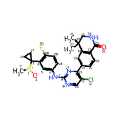 C[S+]([O-])C1(c2cc(Nc3ncc(Cl)c(-c4ccc5c(c4)C(C)(C)CNC5=O)n3)ccc2F)CC1